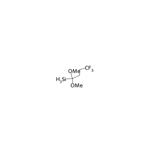 COC([SiH3])(CCC(F)(F)F)OC